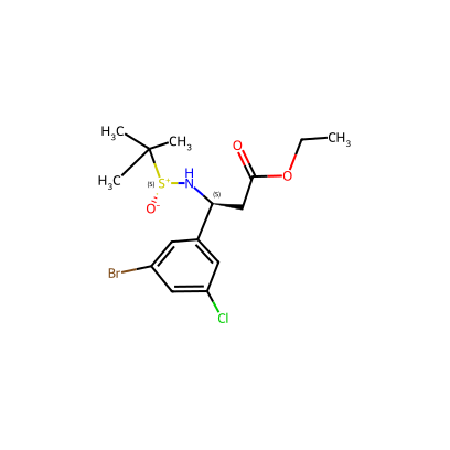 CCOC(=O)C[C@H](N[S@+]([O-])C(C)(C)C)c1cc(Cl)cc(Br)c1